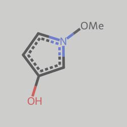 COn1ccc(O)c1